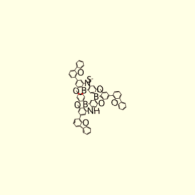 CSN1c2cc3c(cc2B2c4ccccc4Oc4cc(-c5cccc6c5oc5ccccc56)cc1c42)B1c2cc4c(cc2Oc2cc(-c5cccc6c5oc5ccccc56)cc(c21)O3)Nc1cc(-c2cccc3c2oc2ccccc23)cc2c1B4c1ccccc1O2